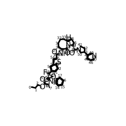 CCCOC(=O)[C@H](C)NP(=O)(Oc1ccccc1)C(F)c1ccc2sc(C(=O)N[C@H]3CCCC[C@H]4CC[C@@H](C(=O)N5CCC(c6cccnc6)C5)N4C3=O)cc2c1